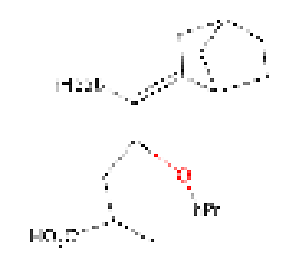 CCCCCCCC(=C1CC2CCC1C2)C(CC(C)C(=O)O)OCCC